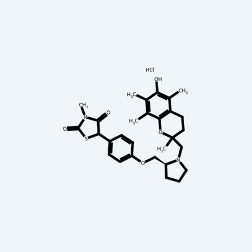 Cc1c(C)c2c(c(C)c1O)CCC(C)(CN1CCC[C@H]1COc1ccc(C3SC(=O)N(C)C3=O)cc1)O2.Cl